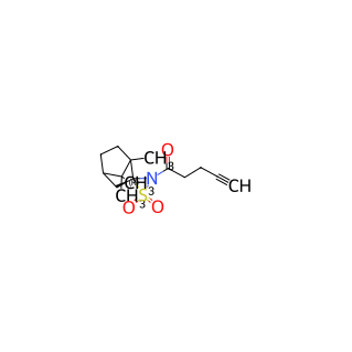 C#CCCC(=O)N1[C@]2(CC3CCC2(C)C3(C)C)S1(=O)=O